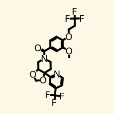 COc1cc(C(=O)N2CCC3(c4cc(C(F)(F)F)ccn4)OCOC3C2)ccc1OCCC(F)(F)F